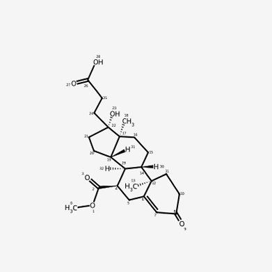 COC(=O)[C@@H]1CC2=CC(=O)CC[C@]2(C)[C@H]2CC[C@@]3(C)[C@@H](CC[C@@]3(O)CCC(=O)O)[C@H]12